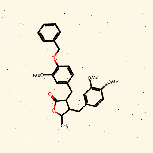 COc1ccc(CC2C(C)OC(=O)C2Cc2ccc(OCc3ccccc3)c(OC)c2)cc1OC